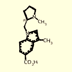 Cc1cn(C[C@H]2CCCN2C)c2ccc(C(=O)O)cc12